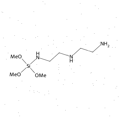 CO[Si](NCCNCCN)(OC)OC